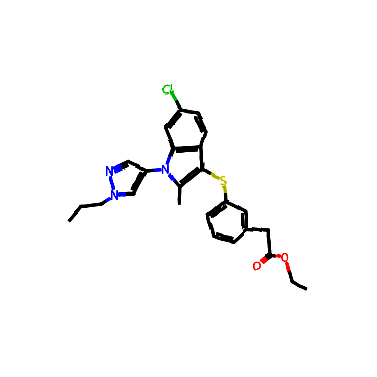 CCCn1cc(-n2c(C)c(Sc3cccc(CC(=O)OCC)c3)c3ccc(Cl)cc32)cn1